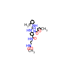 COC(=O)NCCCNC(=O)c1ccc(NCCNc2ccccc2C)c(NC(=O)c2ccc(C)o2)c1